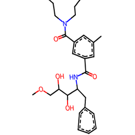 CCCN(CCC)C(=O)c1cc(C)cc(C(=O)NC(Cc2ccccc2)C(O)C(O)COC)c1